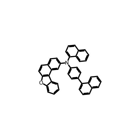 c1ccc2c(-c3ccc(N(c4ccc5ccc6oc7ccccc7c6c5c4)c4cccc5ccccc45)cc3)cccc2c1